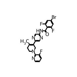 CC1=C(c2cnc(NC(=O)c3c(F)cc(Br)cc3F)cn2)CN(c2ncccc2F)CC1